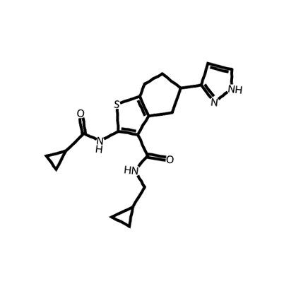 O=C(NCC1CC1)c1c(NC(=O)C2CC2)sc2c1CC(c1cc[nH]n1)CC2